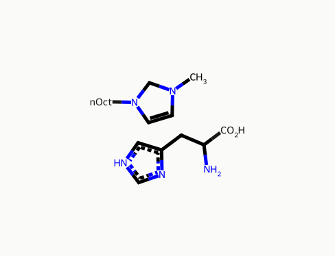 CCCCCCCCN1C=CN(C)C1.NC(Cc1c[nH]cn1)C(=O)O